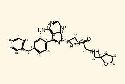 Nc1ncnc2c1c(-c1ccc(Oc3ccccc3)cc1)nn2C1CN(C(=O)CNCC2CCCO2)C1